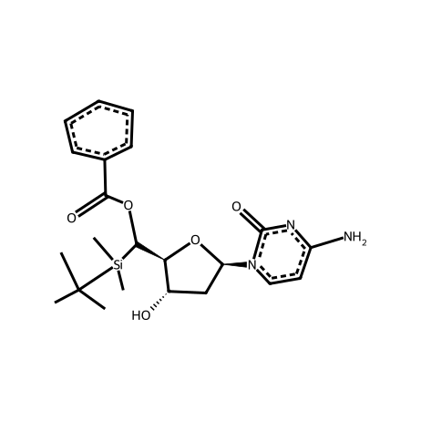 CC(C)(C)[Si](C)(C)C(OC(=O)c1ccccc1)[C@H]1O[C@@H](n2ccc(N)nc2=O)C[C@@H]1O